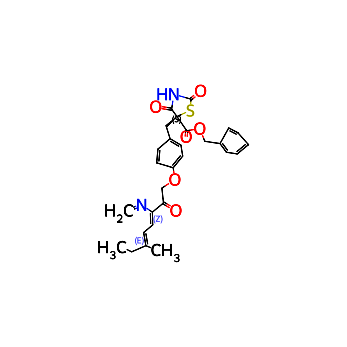 C=N/C(=C\C=C(/C)CC)C(=O)COc1ccc(C[C@]2(C(=O)OCc3ccccc3)SC(=O)NC2=O)cc1